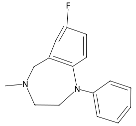 CN1CCN(c2ccccc2)c2ccc(F)cc2C1